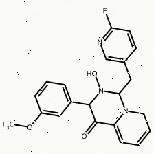 O=C1C2=CC=CCN2C(Cc2ccc(F)nc2)N(O)C1c1cccc(OC(F)(F)F)c1